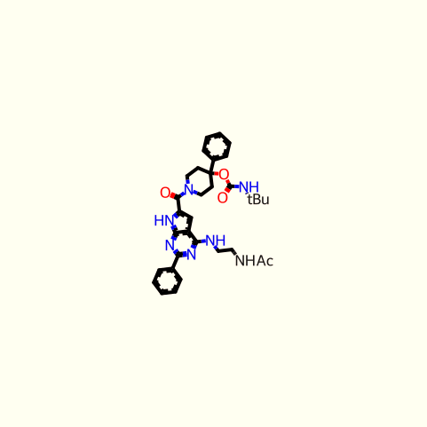 CC(=O)NCCNc1nc(-c2ccccc2)nc2[nH]c(C(=O)N3CCC(OC(=O)NC(C)(C)C)(c4ccccc4)CC3)cc12